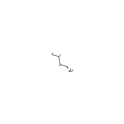 CCCC.[Li]